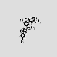 CC(=N)/C(C)=C(\N)c1cc(C(=O)N2CC(F)(c3ccc(C#N)cc3)C2)ccc1C